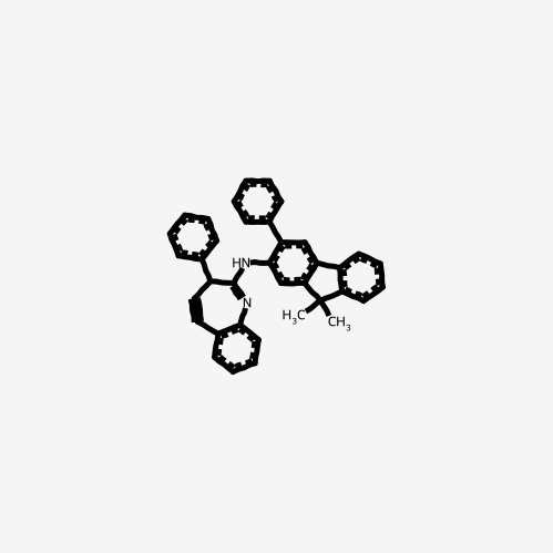 CC1(C)c2ccccc2-c2cc(-c3ccccc3)c(NC3=Nc4ccccc4C#CC3c3ccccc3)cc21